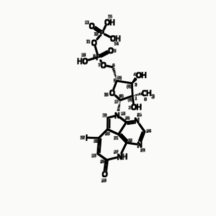 C[C@@]1(O)[C@H](O)[C@@H](COP(=O)(O)OP(=O)(O)O)O[C@H]1n1cc2c3c(ncnc31)NC(=O)C=C2I